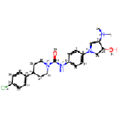 CN(C)C1CN(c2ccc(NC(=O)N3CCC(c4ccc(Cl)cc4)CC3)cc2)CC1O